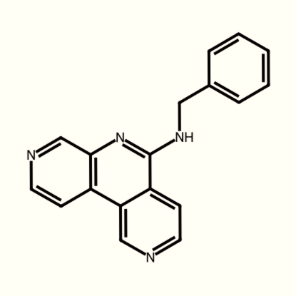 c1ccc(CNc2nc3cnccc3c3cnccc23)cc1